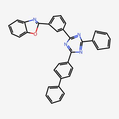 c1ccc(-c2ccc(-c3nc(-c4ccccc4)nc(-c4cccc(-c5nc6ccccc6o5)c4)n3)cc2)cc1